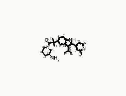 Cc1cc(-c2[nH]c3ccc(C(C)(C)C(=O)N4CCC[C@H](N)C4)cc3c2C(C)C)ccn1